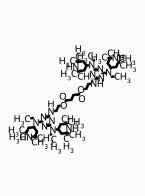 CCN(c1nc(NCCOC(=O)CCC(=O)OCCNc2nc(N(CC)C3CC(C)(C)NC(C)(C)C3)nc(N(CC)C3CC(C)(C)NC(C)(C)C3)n2)nc(N(CC)C2CC(C)(C)NC(C)(C)C2)n1)C1CC(C)(C)NC(C)(C)C1